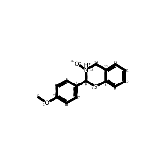 COc1ccc(C2Sc3ccccc3C[NH+]2[O-])cc1